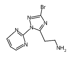 NCCc1nc(Br)nn1-c1ncccn1